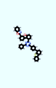 c1ccc(-c2nc(-c3ccc(-c4cccc5c4sc4ccccc45)cc3)nc(-c3cccc4oc5c(-c6nc7ccccc7o6)cccc5c34)n2)cc1